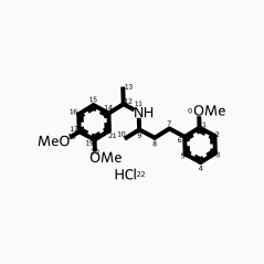 COc1ccccc1CCC(C)NC(C)c1ccc(OC)c(OC)c1.Cl